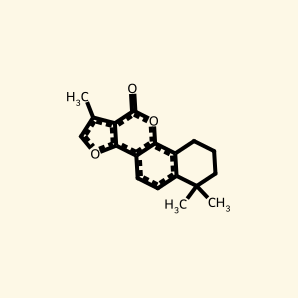 Cc1coc2c1c(=O)oc1c3c(ccc12)C(C)(C)CCC3